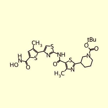 Cc1cc(C(=O)NO)sc1-c1csc(NC(=O)c2sc(C3CCCN(C(=O)OC(C)(C)C)C3)nc2C)n1